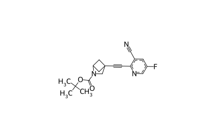 CC(C)(C)OC(=O)N1CC2(C#Cc3ncc(F)cc3C#N)CC1C2